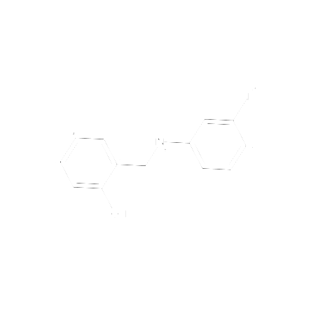 Oc1ccccc1CNc1cccc(I)c1